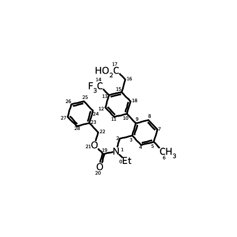 CCN(Cc1cc(C)ccc1-c1ccc(C(F)(F)F)c(CC(=O)O)c1)C(=O)OCc1ccccc1